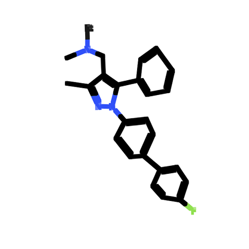 CCN(C)Cc1c(C)nn(-c2ccc(-c3ccc(F)cc3)cc2)c1-c1ccccc1